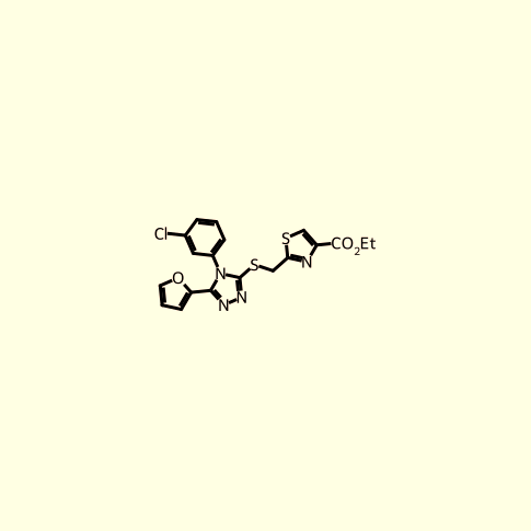 CCOC(=O)c1csc(CSc2nnc(-c3ccco3)n2-c2cccc(Cl)c2)n1